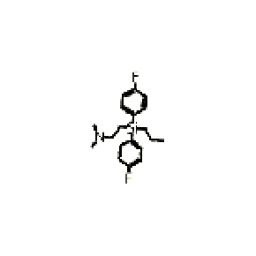 CCC[Si](CCN(C)C)(c1ccc(F)cc1)c1ccc(F)cc1